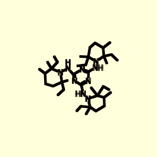 CCC1(C)CCC(C)C(C)(CC)N1Nc1nc(NN2C(C)(CC)CCC(C)C2(C)CC)nc(NN2C(C)(CC)CCC(C)C2(C)CC)n1